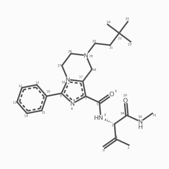 C=C(C)[C@H](NC(=O)c1nc(-c2ccccc2)n2c1CN(CCC(C)(C)C)CC2)C(=O)NC